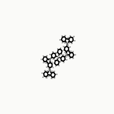 c1ccc([Si](c2ccccc2)(c2cccc(-n3c4ccccc4c4cc(-n5c6ccccc6c6ccccc65)ccc43)c2)c2cccc(-n3c4ccccc4c4cc(-n5c6ccccc6c6ccccc65)ccc43)c2)cc1